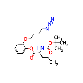 CCC[C@H](NC(=O)OC(C)(C)C)C(=O)Oc1ccccc1OCCCCN=[N+]=[N-]